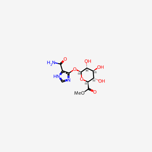 COC(=O)[C@H]1O[C@@H](Oc2nc[nH]c2C(N)=O)[C@H](O)[C@@H](O)[C@@H]1O